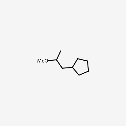 COC(C)CC1CCCC1